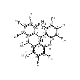 CCC(c1c(C)c(F)c(F)c(F)c1F)c1c(F)c(F)c(F)c(F)c1C(CC)c1c(C)c(F)c(F)c(F)c1F